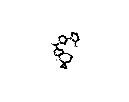 O=C(c1cnc2c(c1)OCCC1(CC1)N2)N1CC[C@H](N2CCCC2O)C1